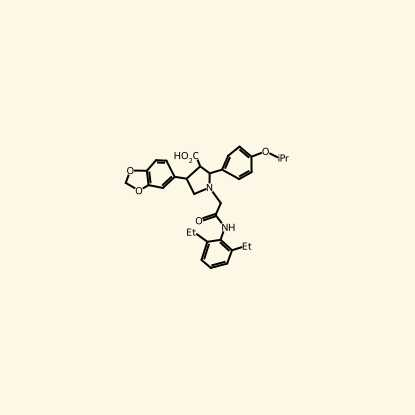 CCc1cccc(CC)c1NC(=O)CN1CC(c2ccc3c(c2)OCO3)C(C(=O)O)C1c1ccc(OC(C)C)cc1